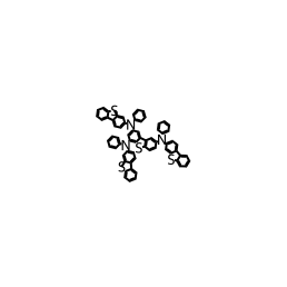 c1ccc(N(c2ccc3c(c2)sc2ccccc23)c2ccc3sc4c(N(c5ccccc5)c5ccc6c(c5)sc5ccccc56)cc(N(c5ccccc5)c5ccc6c(c5)sc5ccccc56)cc4c3c2)cc1